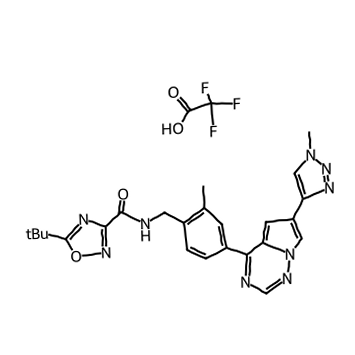 Cc1cc(-c2ncnn3cc(-c4cn(C)nn4)cc23)ccc1CNC(=O)c1noc(C(C)(C)C)n1.O=C(O)C(F)(F)F